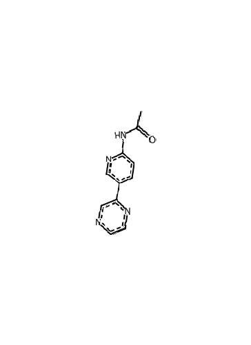 CC(=O)Nc1ccc(-c2cnccn2)cn1